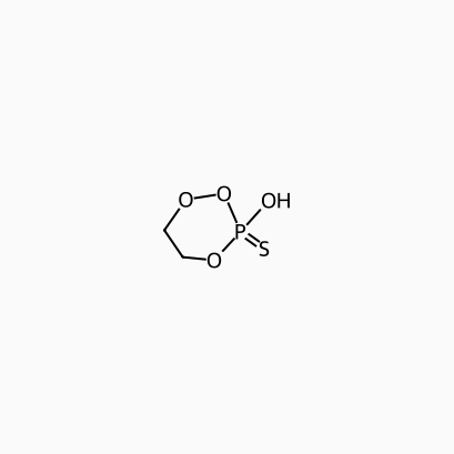 OP1(=S)OCCOO1